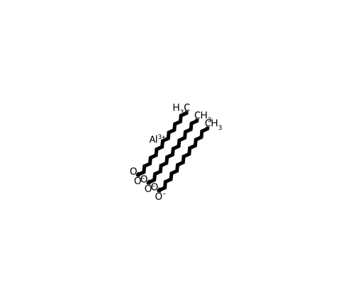 CCCCCCCCCCCCCCCCC(=O)[O-].CCCCCCCCCCCCCCCCC(=O)[O-].CCCCCCCCCCCCCCCCC(=O)[O-].[Al+3]